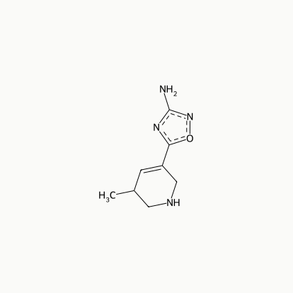 CC1C=C(c2nc(N)no2)CNC1